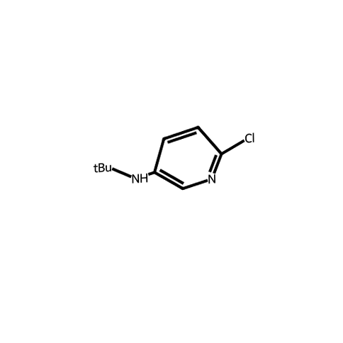 CC(C)(C)Nc1ccc(Cl)nc1